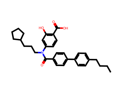 CCCCc1ccc(-c2ccc(C(=O)N(CCCC3CCCC3)c3ccc(C(=O)O)c(O)c3)cc2)cc1